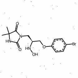 CC1(C)NC(=O)N(C[C@@H](COc2ccc(Br)cc2)NO)C1=O